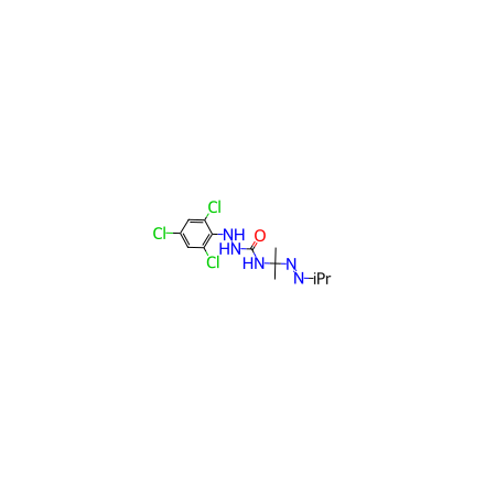 CC(C)/N=N/C(C)(C)NC(=O)NNc1c(Cl)cc(Cl)cc1Cl